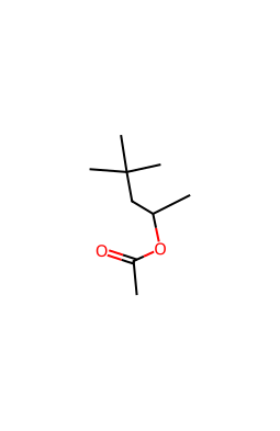 CC(=O)OC(C)CC(C)(C)C